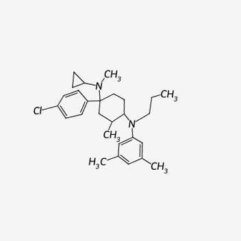 CCCN(c1cc(C)cc(C)c1)C1CCC(c2ccc(Cl)cc2)(N(C)C2CC2)CC1C